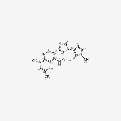 C[C@H](Nc1ncnc2c(Cl)cc(C(F)(F)F)cc12)c1ncnn1-c1ncc(C#N)s1